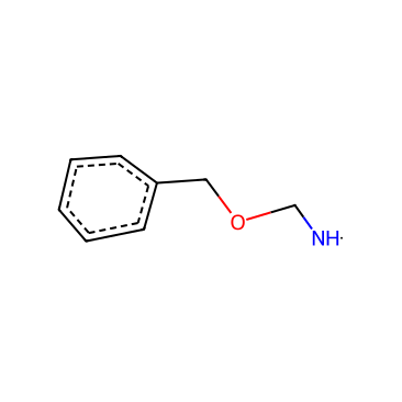 [NH]COCc1ccccc1